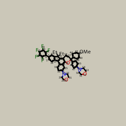 CCC1(CC)c2cc(-c3c(F)c(F)c(F)c(F)c3F)ccc2-c2c1c1c(c3cc(N4CCOCC4)ccc23)OC(c2ccc(OC)cc2)(c2ccc(N3CCOCC3)cc2)C=C1